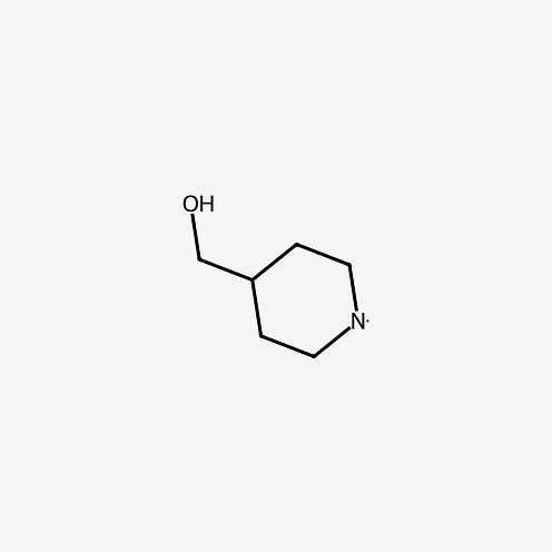 OCC1CC[N]CC1